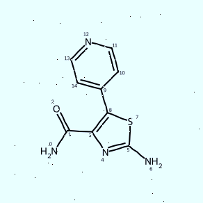 NC(=O)c1nc(N)sc1-c1ccncc1